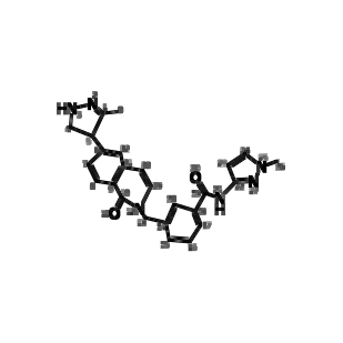 CC1=NNCC1c1ccc2c(=O)n(Cc3cccc(C(=O)Nc4ccn(C)n4)c3)ccc2c1